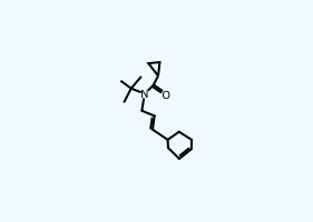 CC(C)(C)N(C/C=C/C1CC=CCC1)C(=O)C1CC1